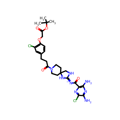 CC(C)(C)OC(=O)COc1ccc(CCC(=O)N2CCC3(CC2)CN/C(=N\C(=O)c2nc(Cl)c(N)nc2N)N3)cc1Cl